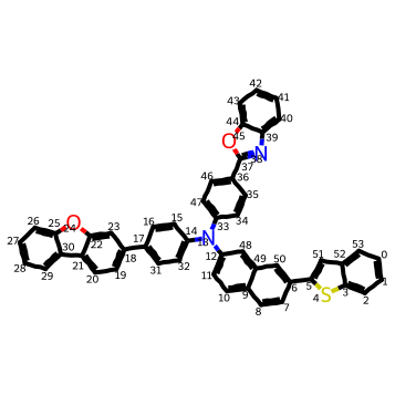 c1ccc2sc(-c3ccc4ccc(N(c5ccc(-c6ccc7c(c6)oc6ccccc67)cc5)c5ccc(-c6nc7ccccc7o6)cc5)cc4c3)cc2c1